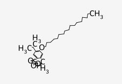 CCCCCCCCCCCCCCCCCOc1cc(C)c(S(=O)(=O)O)cc1C(C)C